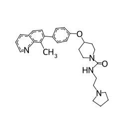 Cc1c(-c2ccc(OC3CCN(C(=O)NCCN4CCCC4)CC3)cc2)ccc2cccnc12